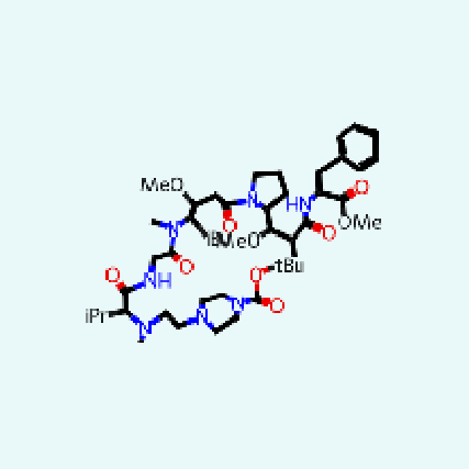 CCC(C)C(C(CC(=O)N1CCCC1C(OC)C(C)C(=O)NC(Cc1ccccc1)C(=O)OC)OC)N(C)C(=O)CNC(=O)C(C(C)C)N(C)CCN1CCN(C(=O)OC(C)(C)C)CC1